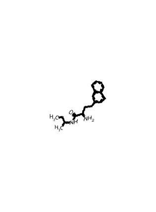 CCC(C)NC(=O)C(N)CCc1ccc2ccccc2c1